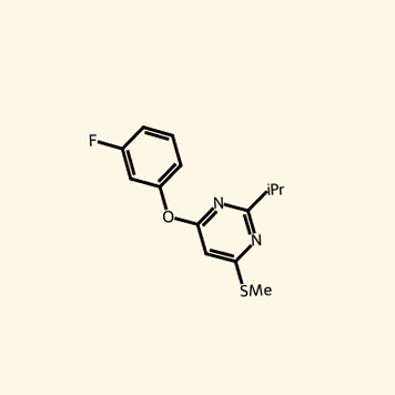 CSc1cc(Oc2cccc(F)c2)nc(C(C)C)n1